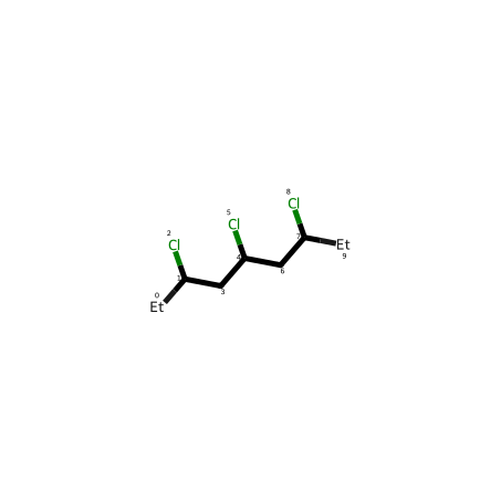 CCC(Cl)CC(Cl)CC(Cl)CC